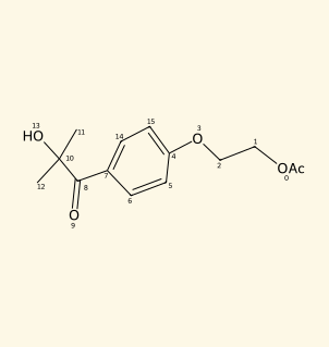 CC(=O)OCCOc1ccc(C(=O)C(C)(C)O)cc1